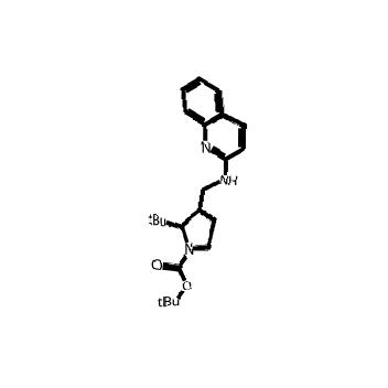 CC(C)(C)OC(=O)N1CCC(CNc2ccc3ccccc3n2)C1C(C)(C)C